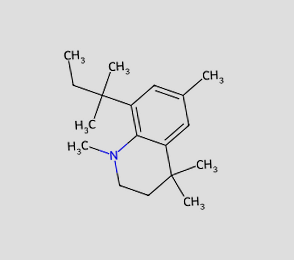 CCC(C)(C)c1cc(C)cc2c1N(C)CCC2(C)C